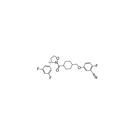 N#Cc1cc(OCC2CCC(C(=O)N3OCC[C@H]3c3cc(F)cc(F)c3)CC2)ccc1F